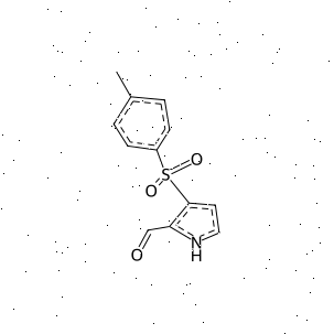 Cc1ccc(S(=O)(=O)c2cc[nH]c2C=O)cc1